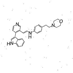 C(=C\c1cnccc1-c1c[nH]c2ccccc12)/Nc1ccc(CCN2CCOCC2)cc1